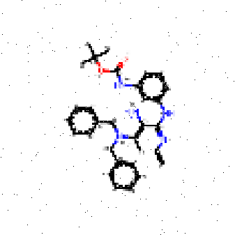 C=C/N=C(Nc1cccc(NC(=O)OC(C)(C)C)c1)\C(N)=C(/C)N(Cc1ccccc1)Cc1ccccc1